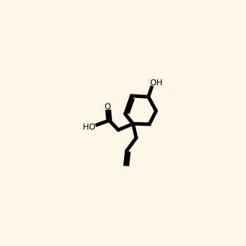 C=CCC1(CC(=O)O)C=CC(O)CC1